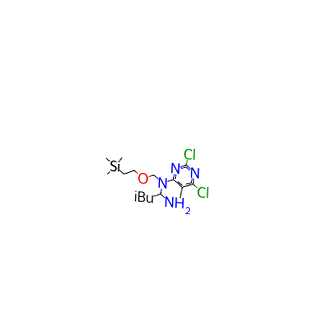 CCC(C)C(N)N(COCC[Si](C)(C)C)c1nc(Cl)nc(Cl)c1C